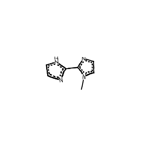 Cn1ccnc1-c1ncc[nH]1